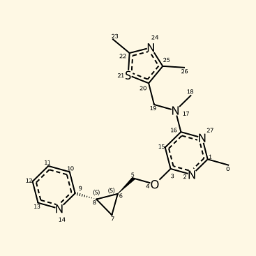 Cc1nc(OC[C@H]2C[C@@H]2c2ccccn2)cc(N(C)Cc2sc(C)nc2C)n1